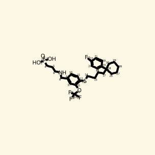 O=P(O)(O)CCCNCc1ccc(SCCCCC2(c3ccc(F)cc3)CCCCC2)c(OC(F)(F)F)c1